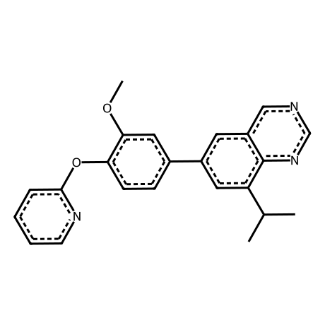 COc1cc(-c2cc(C(C)C)c3ncncc3c2)ccc1Oc1ccccn1